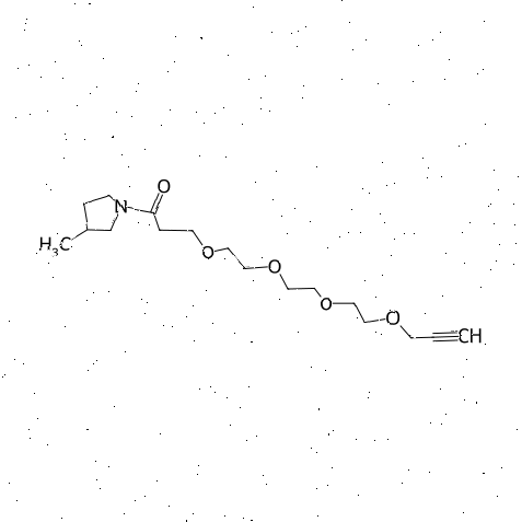 C#CCOCCOCCOCCOCCC(=O)N1CCC(C)C1